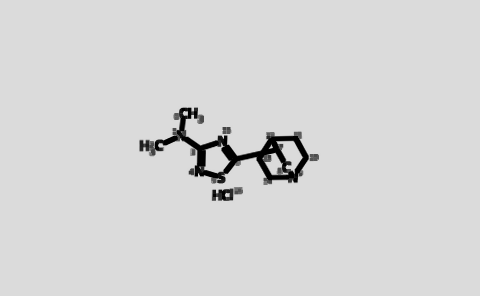 CN(C)c1nsc(C2CN3CCC2CC3)n1.Cl